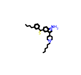 CCCCCCN1CC=C(c2cn(N)c3ccc(C(=S)c4cccc(CCCC)c4)cc23)CC1